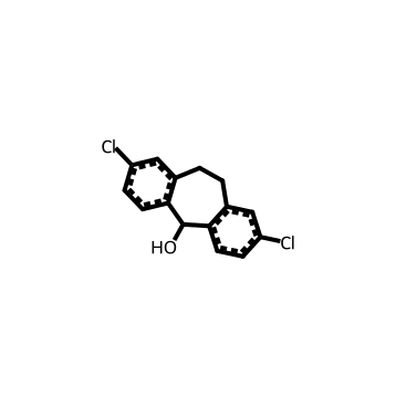 OC1c2ccc(Cl)cc2CCc2cc(Cl)ccc21